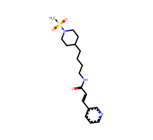 CS(=O)(=O)N1CCC(CCCCNC(=O)C=Cc2cccnc2)CC1